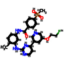 Cc1ccc(NC(=O)c2ccc(S(C)(=O)=O)cc2)cc1Nc1nccc(-c2cncc(OCCF)c2)n1